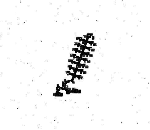 CCCCO[SiH](CCC(F)(F)C(F)(F)C(F)(F)C(F)(F)C(F)(F)C(F)(F)C(F)(F)C(F)(F)F)OCCCC